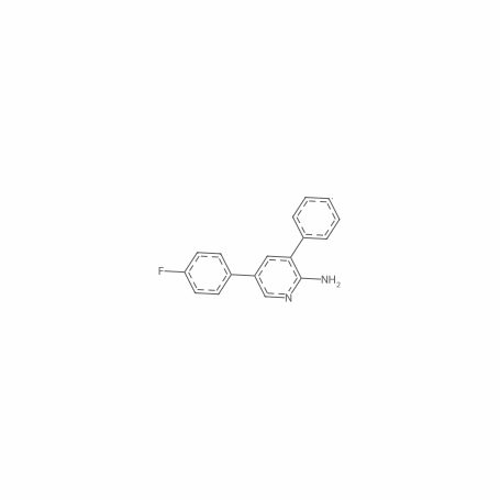 Nc1ncc(-c2ccc(F)cc2)cc1-c1cc[c]cc1